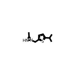 CC(C)c1ccc(CN2NC2C)s1